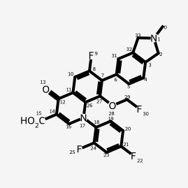 CN1Cc2ccc(-c3c(F)cc4c(=O)c(C(=O)O)cn(-c5ccc(F)cc5F)c4c3OCF)cc2C1